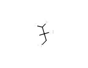 F[C](F)C(F)(Cl)CCl